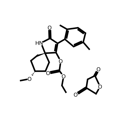 CCOC(=O)OC1=C(c2cc(C)ccc2C)C(=O)N[C@]12CC[C@@H](OC)CC2.O=C1COC(=O)C1